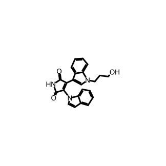 O=C1NC(=O)C(n2ccc3ccccc32)=C1c1cn(CCCO)c2ccccc12